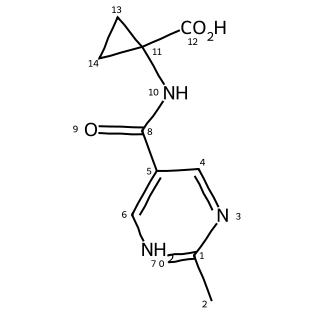 C=C(C)/N=C\C(=C/N)C(=O)NC1(C(=O)O)CC1